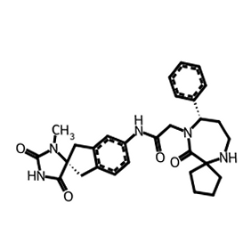 CN1C(=O)NC(=O)[C@@]12Cc1ccc(NC(=O)CN3C(=O)C4(CCCC4)NCC[C@H]3c3ccccc3)cc1C2